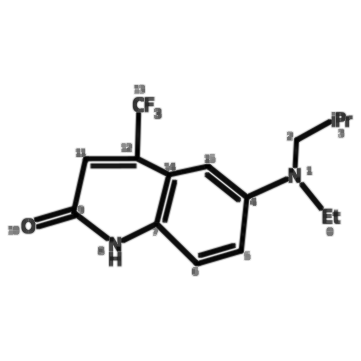 CCN(CC(C)C)c1ccc2[nH]c(=O)cc(C(F)(F)F)c2c1